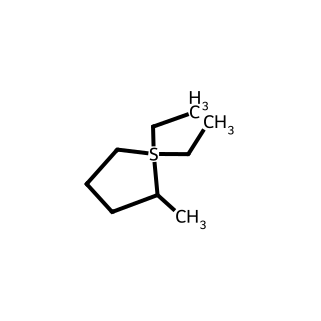 CCS1(CC)CCCC1C